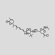 CC1=CCC(C(C)/C=C(C)/C=C/C=C/C(=O)NC(C(=O)N/C=C\CC(C/C=C(\C)Cl)OC(N)=O)C(C)(C)C)OC1=O